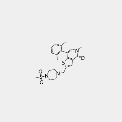 Cc1cccc(C)c1-c1cn(C)c(=O)c2cc(CN3CCN(S(C)(=O)=O)CC3)sc12